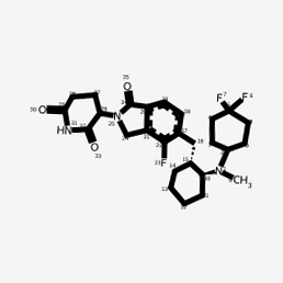 CN(C1CCC(F)(F)CC1)[C@H]1CCCC[C@@H]1Cc1ccc2c(c1F)CN(C1CCC(=O)NC1=O)C2=O